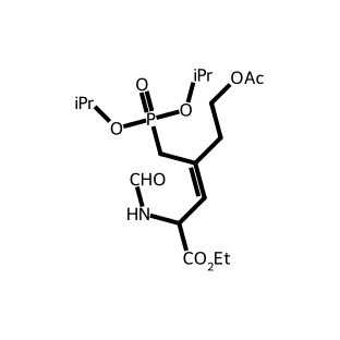 CCOC(=O)C(C=C(CCOC(C)=O)CP(=O)(OC(C)C)OC(C)C)NC=O